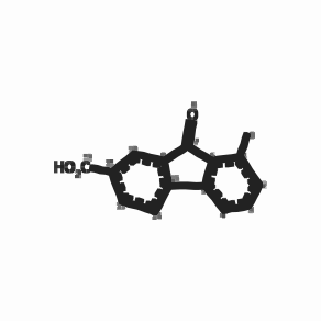 Cc1cccc2c1C(=O)c1cc(C(=O)O)ccc1-2